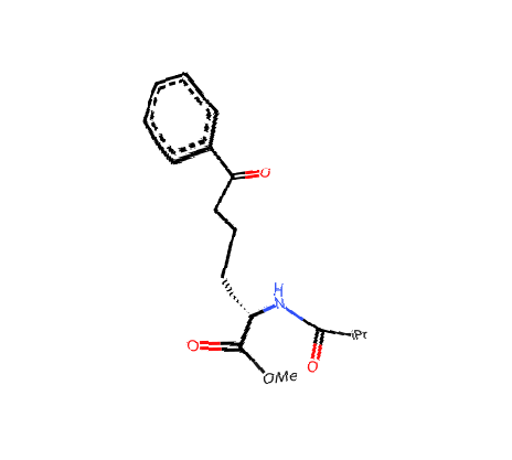 COC(=O)[C@H](CCCC(=O)c1ccccc1)NC(=O)C(C)C